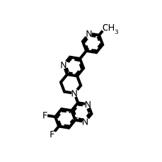 Cc1ccc(-c2cnc3c(c2)CN(c2ncnc4cc(F)c(F)cc24)CC3)cn1